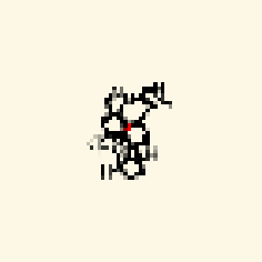 Cc1ccc(C2(O)[C@@H]3CC[C@H]2CN(c2cc4c(cnn4-c4cnn(C)c4)cc2Cl)C3)c(C)n1